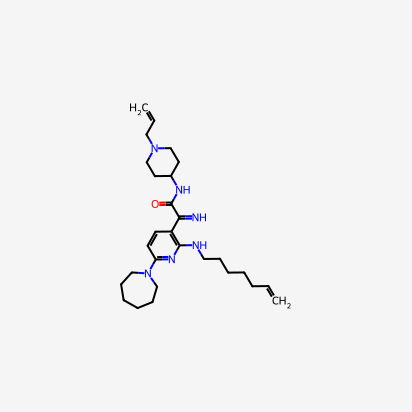 C=CCCCCCNc1nc(N2CCCCCC2)ccc1C(=N)C(=O)NC1CCN(CC=C)CC1